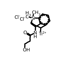 C[Si]1(C)C2=C(NC(=O)CCO)c3c(cccc31)[CH]2[Ti+2].[Cl-].[Cl-]